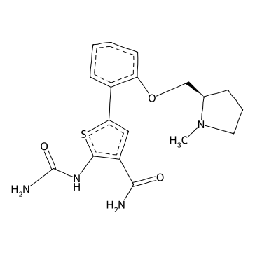 CN1CCC[C@@H]1COc1ccccc1-c1cc(C(N)=O)c(NC(N)=O)s1